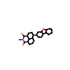 CN1C(=O)c2cccc3c(-c4ccc5c(c4)oc4ccccc45)ccc(c23)C1=O